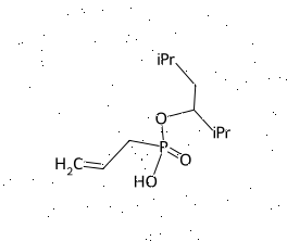 C=CCP(=O)(O)OC(CC(C)C)C(C)C